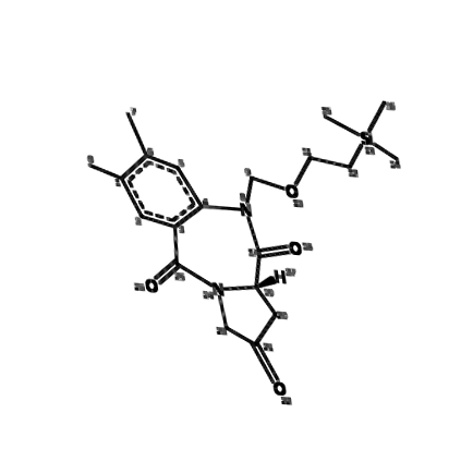 Cc1cc2c(cc1C)N(COCC[Si](C)(C)C)C(=O)[C@@H]1CC(=O)CN1C2=O